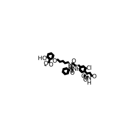 COC(=O)c1c(O)cccc1OCCCCCNC(=O)[C@H](Cc1ccc(C2CC(=O)NS2(=O)=O)c(Cl)c1)NS(=O)(=O)c1ccccc1